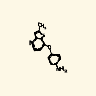 Cc1cc2nccc(Oc3ccc(N)cc3)c2s1